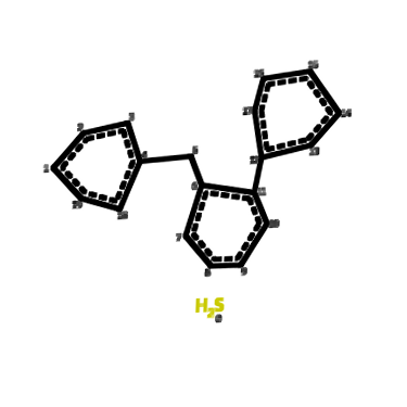 S.c1ccc(Cc2ccccc2-c2ccccc2)cc1